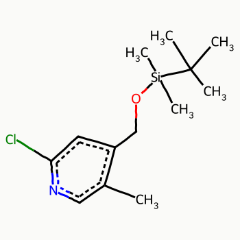 Cc1cnc(Cl)cc1CO[Si](C)(C)C(C)(C)C